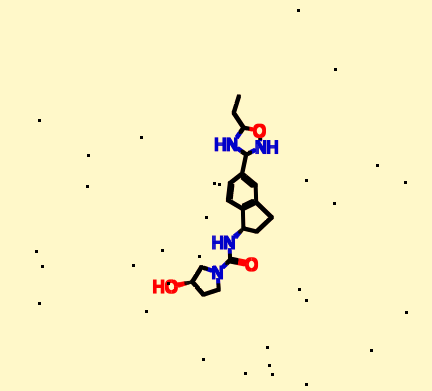 CCC1NC(c2ccc3c(c2)CC[C@H]3NC(=O)N2CC[C@@H](O)C2)NO1